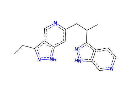 CCc1n[nH]c2cc(CC(C)c3n[nH]c4cnccc34)ncc12